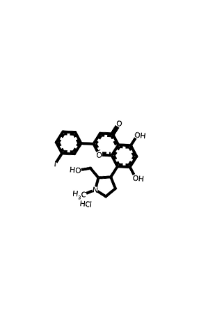 CN1CCC(c2c(O)cc(O)c3c(=O)cc(-c4cccc(I)c4)oc23)C1CO.Cl